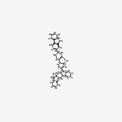 CC1=C(c2ccc(-n3c4c(c5ccccc53)C=C3c5ccccc5C(C)(C)C3(C)C4)cc2C)C=CC(c2ccc3c(c2)Cc2ccccc2-3)C1